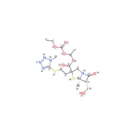 CCOC(=O)OC(C)OC(=O)C1(CCSc2nnnn2C)CN2C(=O)[C@H](CO)[C@H]2S1